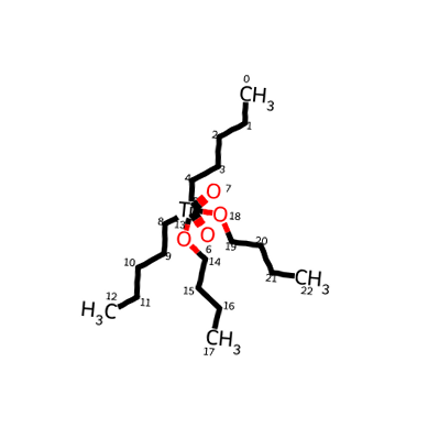 CCCC[CH2][Ti](=[O])(=[O])([CH2]CCCC)([O]CCCC)[O]CCCC